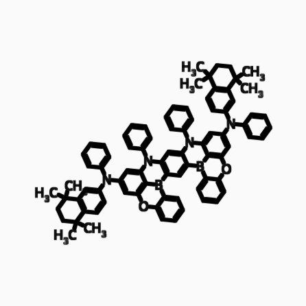 CC1(C)CCC(C)(C)c2cc(N(c3ccccc3)c3cc4c5c(c3)N(c3ccccc3)c3cc6c(cc3B5c3ccccc3O4)B3c4ccccc4Oc4cc(N(c5ccccc5)c5ccc7c(c5)C(C)(C)CCC7(C)C)cc(c43)N6c3ccccc3)ccc21